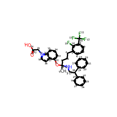 CC(CCCc1cccc(C(F)(F)F)c1F)(NCC(c1ccccc1)c1ccccc1)Oc1cccc2c1ccn2CC(=O)O